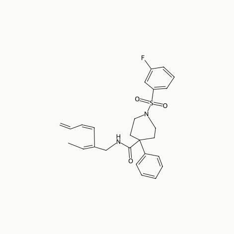 C=C/C=C\C(=C/C)CNC(=O)C1(c2ccccc2)CCN(S(=O)(=O)c2cccc(F)c2)CC1